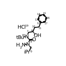 CC(C)CN(N)C(=O)N(C[C@H](O)CCc1ccccc1)C(C)(C)C.Cl